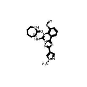 CC(C)Sc1cccc2c1nc(N[C@@H]1CCCCNC1=O)n1nc(-c3cnn(C)c3)nc21